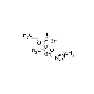 CCCOC(C)OC(C)OC(=O)Cn1cc[n+](C)c1.[Br-]